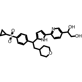 O=S(=O)(c1ccc(C(CC2CCOCC2)c2ccc(-c3ccc(C(O)CO)cn3)[nH]2)cc1)C1CC1